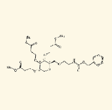 CC(C)(C)OC(=O)CCO[C@H]1[C@H](OCCC(=O)OC(C)(C)C)[C@@H](COCCNC(=O)OCc2ccccc2)OC[C@@H]1OCCC(=O)OC(C)(C)C